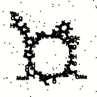 CNC(=O)C[C@@H]1NC(=O)c2csc(n2)-c2ccc(-c3nc(NC(=O)OC(C)(C)C)cs3)nc2-c2csc(n2)-c2csc(n2)[C@H]([C@@H](OC(C)=O)c2ccccc2)N(N)C(=O)CNC(=O)c2nc(sc2COC)NC(=O)c2nc1sc2C